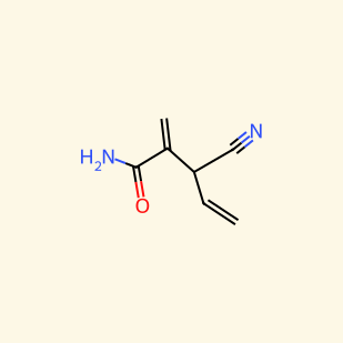 C=CC(C#N)C(=C)C(N)=O